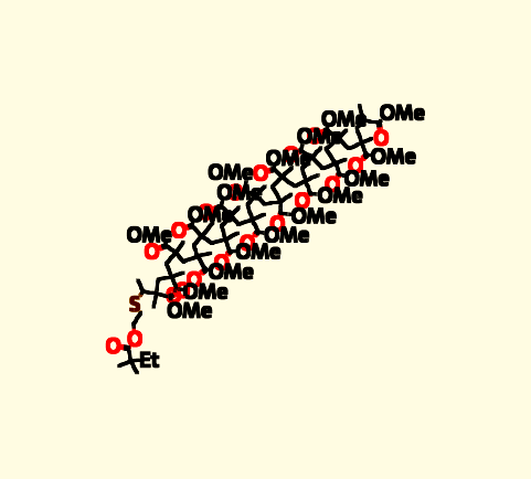 CCC(C)(C)C(=O)OCCSC(C)C(C)(CC(C)(CC(C)(CC(C)(CC(C)(CC(C)(CC(C)(CC(C)(CC(C)(CC(C)(CC(C)(CC(C)(CC(C)(CC(C)(CC(C)(CC(C)(CC(C)C(=O)OC)C(=O)OC)C(=O)OC)C(=O)OC)C(=O)OC)C(=O)OC)C(=O)OC)C(=O)OC)C(=O)OC)C(=O)OC)C(=O)OC)C(=O)OC)C(=O)OC)C(=O)OC)C(=O)OC)C(=O)OC)C(=O)OC